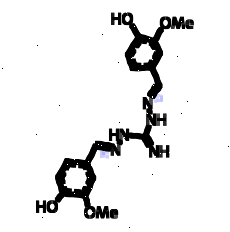 COc1cc(/C=N/NC(=N)N/N=C/c2ccc(O)c(OC)c2)ccc1O